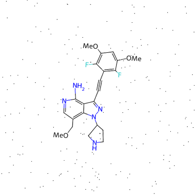 COCc1cnc(N)c2c(C#Cc3c(F)c(OC)cc(OC)c3F)nn(C3CCNC3)c12